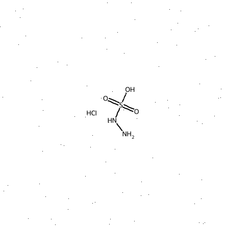 Cl.NNS(=O)(=O)O